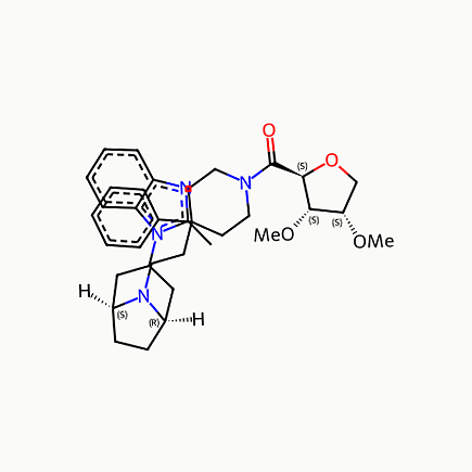 CO[C@H]1[C@@H](OC)CO[C@@H]1C(=O)N1CCC(CCN2[C@@H]3CC[C@H]2CC(n2c(C)nc4ccccc42)C3)(c2ccccc2)CC1